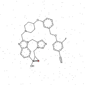 N#Cc1ccc(OCc2cccc(OC3CCN(Cc4nc5ccc(C(=O)O)cc5n4Cc4cncn4CC4CC4)CC3)c2)c(F)c1